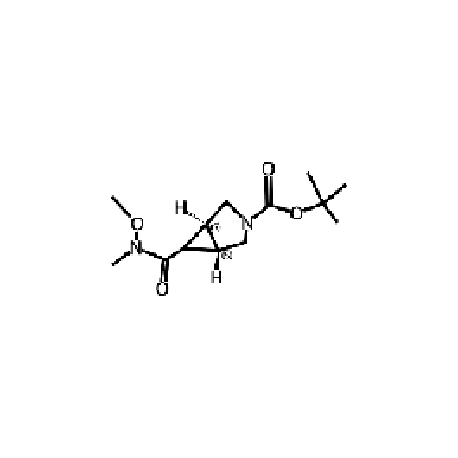 CON(C)C(=O)C1[C@H]2CN(C(=O)OC(C)(C)C)C[C@H]12